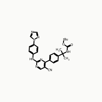 CC(C)(C)OC(=O)NC(C)(C)c1ccc(-c2nc(Nc3ccc(-n4cncn4)cc3)ncc2C#N)cc1